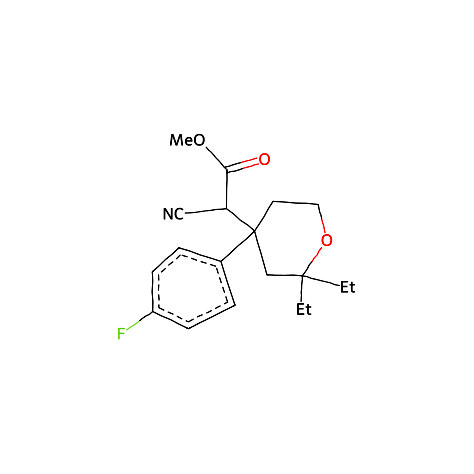 CCC1(CC)CC(c2ccc(F)cc2)(C(C#N)C(=O)OC)CCO1